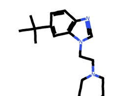 CC(C)(C)c1ccc2ncn(CCN3CCOCC3)c2c1